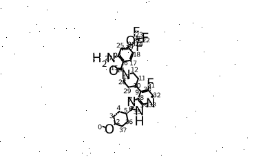 CO[C@H]1CC[C@@H](c2nc3c(C4CCN(C(=O)c5ccc(OC(F)(F)F)cc5N)CC4)c(F)cnc3[nH]2)CC1